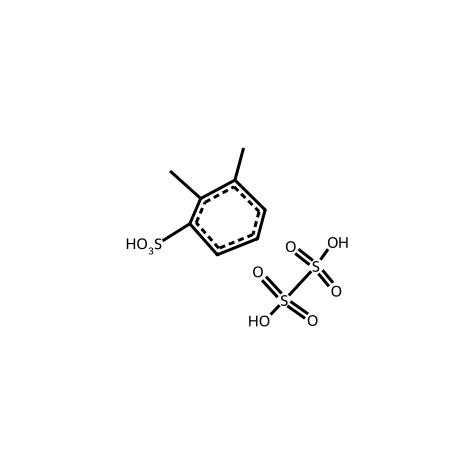 Cc1cccc(S(=O)(=O)O)c1C.O=S(=O)(O)S(=O)(=O)O